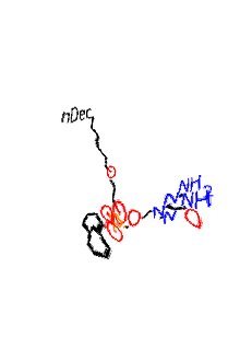 CCCCCCCCCCCCCCCCOCCCOP(=O)(COCCn1cnc2c(=O)[nH]c(N)nc21)Oc1cccc2ccccc12